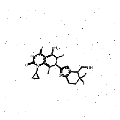 CC1=c2c(c(=O)[nH]c(=O)n2C2CC2)=C(N)C(F)C1c1cc2c(s1)CCC(F)(F)C2CO